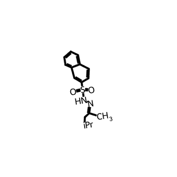 CC(CC(C)C)=NNS(=O)(=O)c1ccc2ccccc2c1